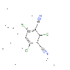 N#C[C]1C(Cl)=CC(Cl)=C(C#N)C1Cl